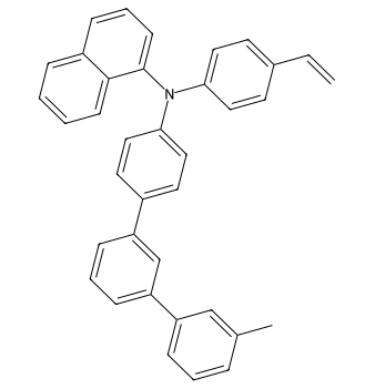 C=Cc1ccc(N(c2ccc(-c3cccc(-c4cccc(C)c4)c3)cc2)c2cccc3ccccc23)cc1